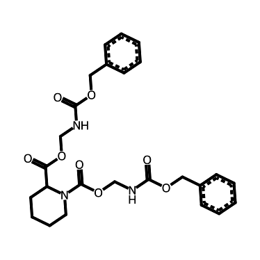 O=C(NCOC(=O)C1CCCCN1C(=O)OCNC(=O)OCc1ccccc1)OCc1ccccc1